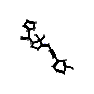 Cc1cccc(C#C/C=C2\CCN(C(=O)c3ccco3)C2(C)C)n1